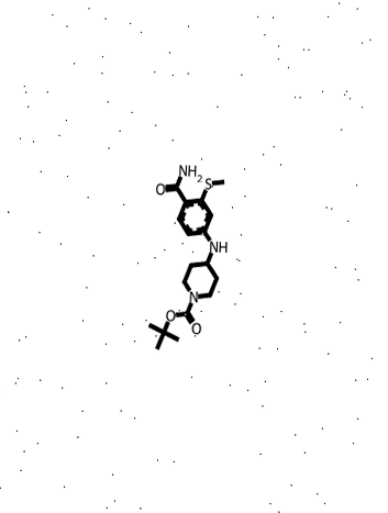 CSc1cc(NC2CCN(C(=O)OC(C)(C)C)CC2)ccc1C(N)=O